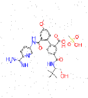 COc1ccc(-c2ccc(C(=O)NC(CO)C(C)(C)C)cc2C(=O)O)c(C(=O)Nc2ccc(C(=N)N)nc2)c1.CS(=O)(=O)O